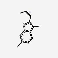 C/C=C\c1oc2cc(C)ccc2c1C